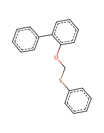 c1ccc(SCOc2ccccc2-c2ccccc2)cc1